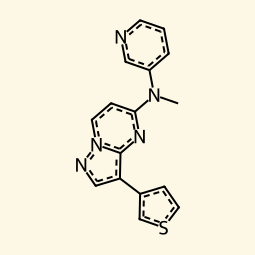 CN(c1cccnc1)c1ccn2ncc(-c3ccsc3)c2n1